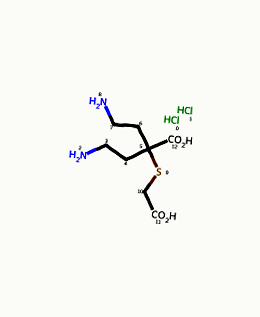 Cl.Cl.NCCC(CCN)(SCC(=O)O)C(=O)O